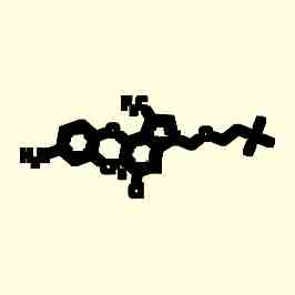 C[Si](C)(C)CCOCn1cc(C(F)(F)F)c2c(Oc3ccc(N)cc3C(F)(F)F)cc(Cl)nc21